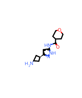 N[C@H]1C[C@@H](c2cc(NC(=O)C3CCOCC3)[nH]n2)C1